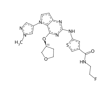 Cn1cc(-n2ccc3nc(Nc4cc(C(=O)NCCF)cs4)nc(O[C@H]4CCOC4)c32)cn1